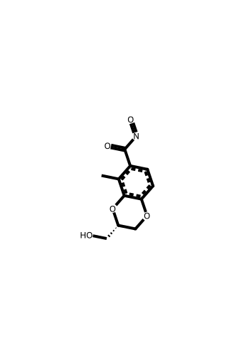 Cc1c(C(=O)N=O)ccc2c1O[C@@H](CO)CO2